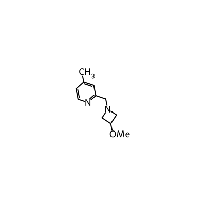 COC1CN(Cc2cc(C)ccn2)C1